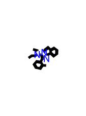 CCCN(CC)c1c(-c2ccccc2C)nc2c3ccccc3ccn12